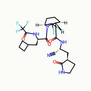 N#C[C@@H](C[C@H]1CCNC1=O)NC(=O)[C@H]1[C@@H]2CC[C@@H](CC2(F)F)N1C(=O)[C@@H](CC1CCC1)NC(=O)C(F)(F)F